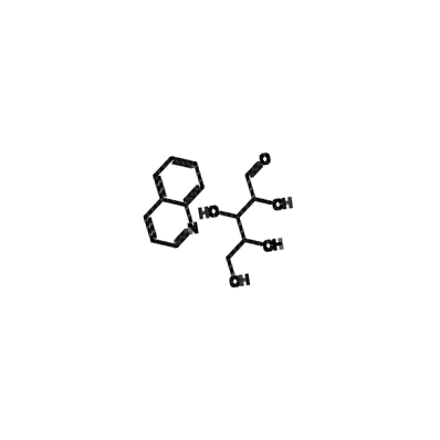 O=CC(O)C(O)C(O)CO.c1ccc2ncccc2c1